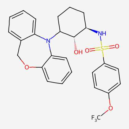 O=S(=O)(N[C@@H]1CCCC(N2c3ccccc3COc3ccccc32)[C@H]1O)c1ccc(OC(F)(F)F)cc1